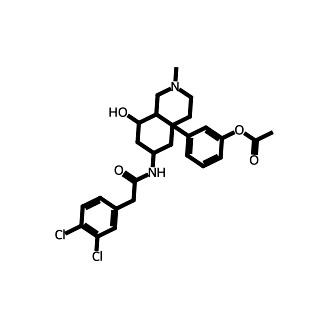 CC(=O)Oc1cccc(C23CCN(C)CC2C(O)CC(NC(=O)Cc2ccc(Cl)c(Cl)c2)C3)c1